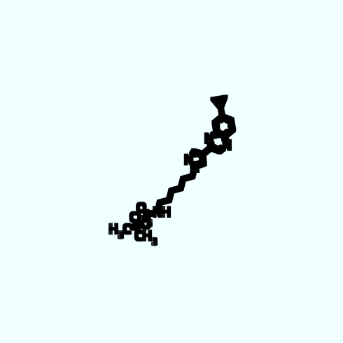 CC(C)(C)OC(=O)NCCCCCCn1cc(-c2cnc3ccc(C4CC4)cc3n2)cn1